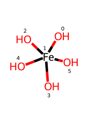 [OH][Fe]([OH])([OH])([OH])[OH]